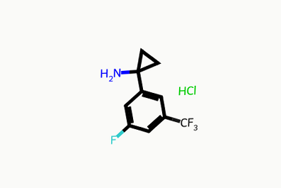 Cl.NC1(c2cc(F)cc(C(F)(F)F)c2)CC1